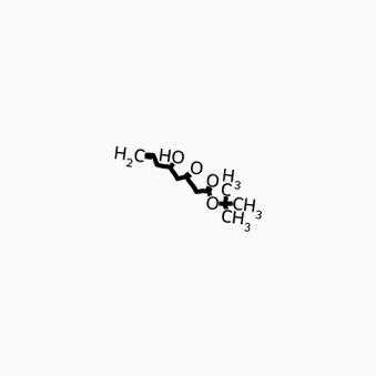 C=CCC(O)CC(=O)CC(=O)OC(C)(C)C